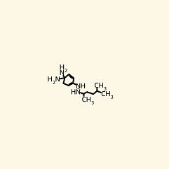 CC(C)CCC(C)NNC1=CCC(N)(N)C=C1